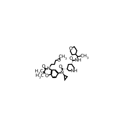 COCCCN1C(=O)C(C)(C)Oc2ccc(N(C(=O)[C@H]3CNC[C@@H](C(=O)NC(C)C4CCOCC4)C3)C3CC3)cc21